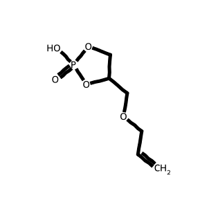 C=CCOCC1COP(=O)(O)O1